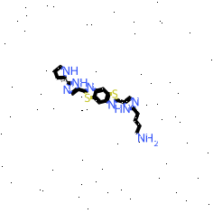 NCCCCc1ncc(-c2nc3cc4sc(-c5cnc([C@@H]6CCCN6)[nH]5)nc4cc3s2)[nH]1